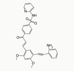 COc1cc(OC)c(C=CC(=O)c2ccc(S(=O)(=O)Nc3ccccn3)cc2)cc1C#Cc1ccccc1N